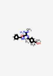 C=N/C(N)=C(\N=C(/C)c1ccc(C(C)(C)O)cc1)c1nnc(-c2ccccc2)o1